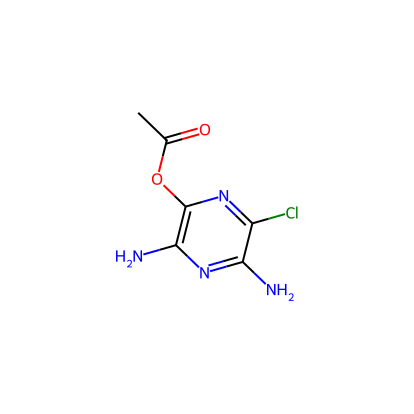 CC(=O)Oc1nc(Cl)c(N)nc1N